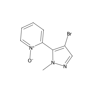 Cn1ncc(Br)c1-c1cccc[n+]1[O-]